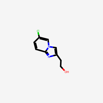 OCCc1cn2cc(Cl)ccc2n1